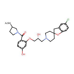 CC(=O)NC1CCN(C(=O)c2ccc(O)cc2OC[C@H](O)CN2CCC3(CC2)Cc2cc(Cl)ccc2O3)C1